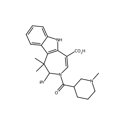 CC(C)C1N(C(=O)C2CCCN(C)C2)C=C(C(=O)O)c2[nH]c3ccccc3c2C1(C)C